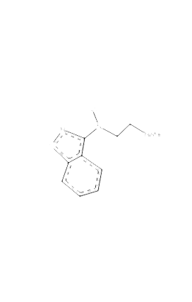 CCN(CCNC)c1nsc2ccccc12